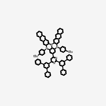 CC(C)(C)c1ccc(N2c3cc4cc5ccccc5cc4cc3B3c4cc5cc6ccccc6cc5cc4N(c4ccc(C(C)(C)C)cc4)c4cc(-c5cc(-c6cc(-c7ccccc7)cc(-c7ccccc7)c6)nc(-c6cc(-c7ccccc7)cc(-c7ccccc7)c6)n5)cc2c43)cc1